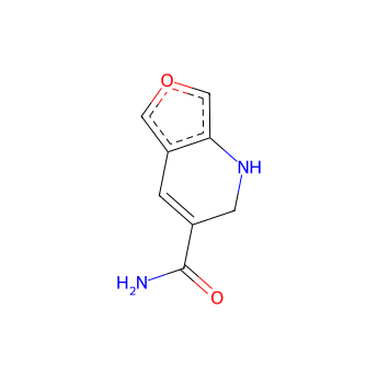 NC(=O)C1=Cc2cocc2NC1